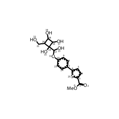 COC(=O)c1ccc(-c2ccc(OC(O)C3(O)C(O)C(O)C3CO)cc2)s1